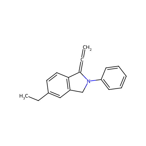 C=C=C1c2ccc(CC)cc2CN1c1ccccc1